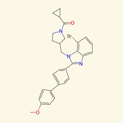 COc1ccc(-c2ccc(-c3nc4cccc(Br)c4n3CC3CCN(C(=O)C4CC4)C3)cc2)cc1